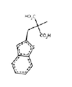 CC(Cc1cc2ccccc2s1)(C(=O)O)C(=O)O